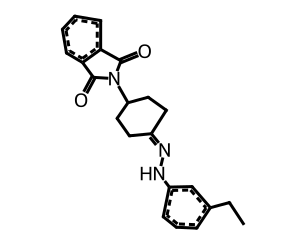 CCc1cccc(NN=C2CCC(N3C(=O)c4ccccc4C3=O)CC2)c1